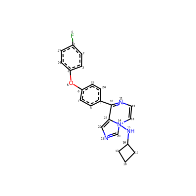 Fc1ccc(Oc2ccc(C3=NC=C[N+]4(NC5CCC5)C=NC=C34)cc2)cc1